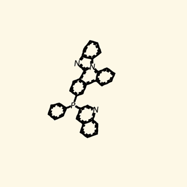 c1ccc(P(c2cnc3ccccc3c2)c2ccc3c(c2)c2ccccc2n2c4ccccc4nc32)cc1